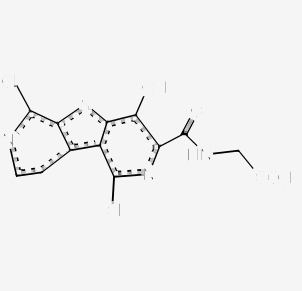 O=C(O)CNC(=O)c1nc(Cl)c2c(sc3c(Cl)nccc32)c1O